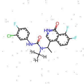 [2H]C([2H])([2H])N(C(=O)Nc1ccc(F)c(Cl)c1)C(C)c1c[nH]c(=O)c2c(F)c(F)ccc12